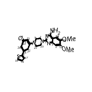 COc1cc2nc(N3CCN(C4=CC(=O)CC(c5cccs5)C4)CC3)nc(N)c2cc1OC